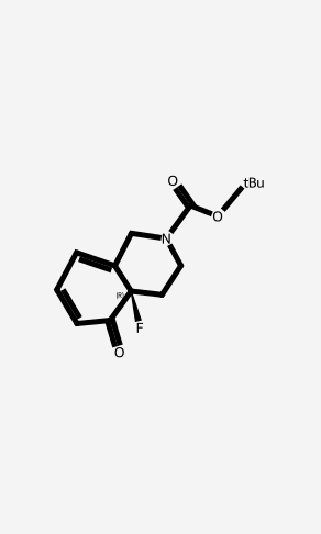 CC(C)(C)OC(=O)N1CC[C@]2(F)C(=O)C=CC=C2C1